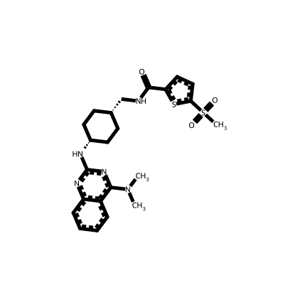 CN(C)c1nc(N[C@H]2CC[C@@H](CNC(=O)c3ccc(S(C)(=O)=O)s3)CC2)nc2ccccc12